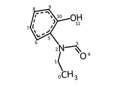 CCN(C=O)c1ccccc1O